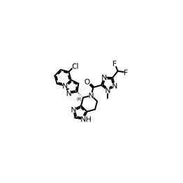 Cn1nc(C(F)F)nc1C(=O)N1CCc2[nH]cnc2[C@@H]1c1cc2c(Cl)cccn2n1